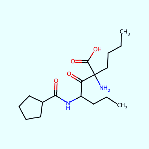 CCCCC(N)(C(=O)O)C(=O)C(CCC)NC(=O)C1CCCC1